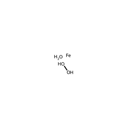 O.OO.[Fe]